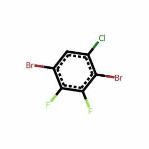 Fc1c(Br)cc(Cl)c(Br)c1F